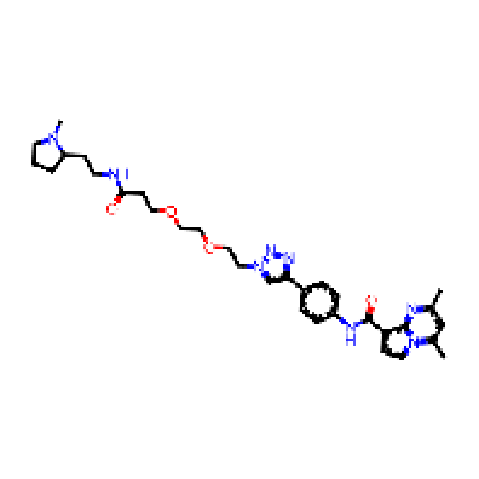 Cc1cc(C)n2ccc(C(=O)Nc3ccc(-c4cn(CCOCCOCCC(=O)NCCC5CCCN5C)nn4)cc3)c2n1